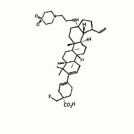 C=CC1CC[C@]2(NCCN3CCS(=O)(=O)CC3)CC[C@]3(C)[C@H](CC[C@@H]4[C@@]5(C)CC=C(C6=CC[C@@](CF)(C(=O)O)CC6)C(C)(C)[C@@H]5CC[C@]43C)[C@@H]12